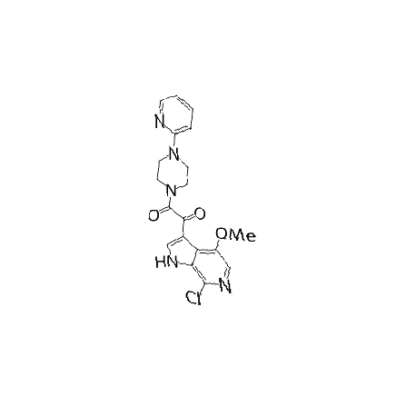 COc1cnc(Cl)c2[nH]cc(C(=O)C(=O)N3CCN(c4ccccn4)CC3)c12